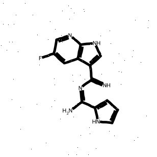 N=C(/N=C(/N)c1ccc[nH]1)c1c[nH]c2ncc(F)cc12